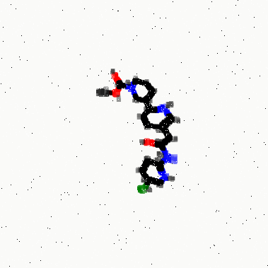 CC(C)(C)OC(=O)N1CCC=C(c2ccc(CC(=O)Nc3ccc(Cl)cn3)cn2)C1